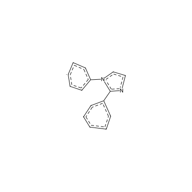 [c]1ccc(-n2ccnc2-c2ccccc2)cc1